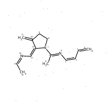 C=C/C=C\N=C(/C)N1CCC(=C)/C1=C\N=C/C